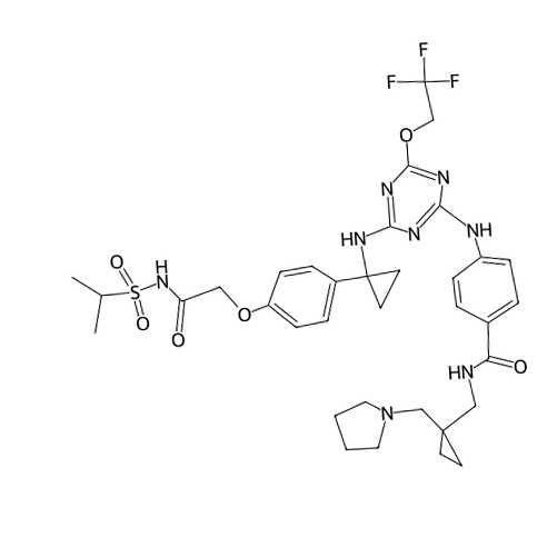 CC(C)S(=O)(=O)NC(=O)COc1ccc(C2(Nc3nc(Nc4ccc(C(=O)NCC5(CN6CCCC6)CC5)cc4)nc(OCC(F)(F)F)n3)CC2)cc1